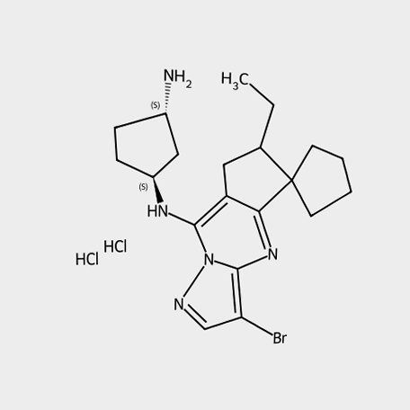 CCC1Cc2c(nc3c(Br)cnn3c2N[C@H]2CC[C@H](N)C2)C12CCCC2.Cl.Cl